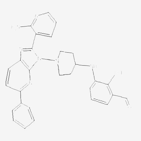 Nc1ncccc1-c1nc2ccc(-c3ccccc3)nc2n1N1CCC(Nc2cccc(C=O)c2O)CC1